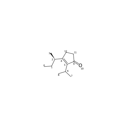 CC[C@@H](C)C1=C(C(C)C)C(=O)CC1